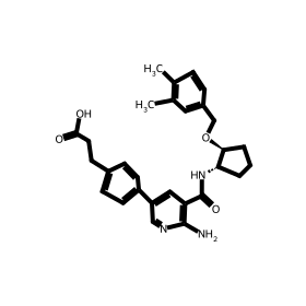 Cc1ccc(CO[C@H]2CCC[C@@H]2NC(=O)c2cc(-c3ccc(CCC(=O)O)cc3)cnc2N)cc1C